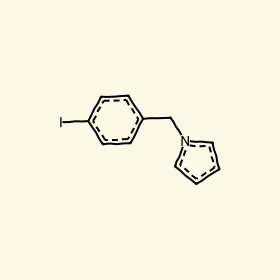 Ic1ccc(Cn2cccc2)cc1